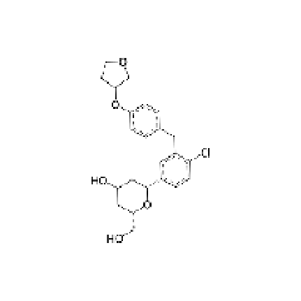 OC[C@@H]1CC(O)C[C@H](c2ccc(Cl)c(Cc3ccc(OC4CCOC4)cc3)c2)O1